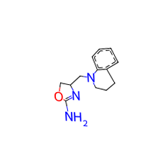 NC1=NC(CN2CCCc3ccccc32)CO1